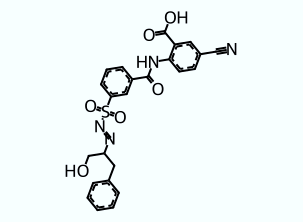 N#Cc1ccc(NC(=O)c2cccc(S(=O)(=O)N=NC(CO)Cc3ccccc3)c2)c(C(=O)O)c1